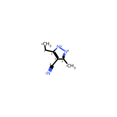 CCC1=C(C#N)C(C)=N[N]1